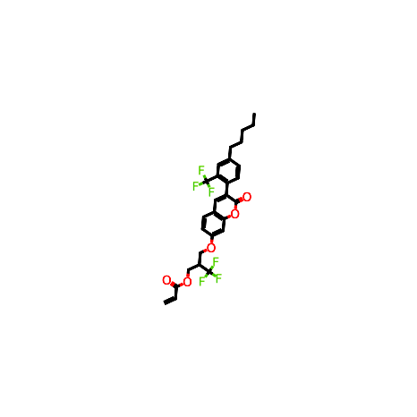 C=CC(=O)OCC(COc1ccc2cc(-c3ccc(CCCCC)cc3C(F)(F)F)c(=O)oc2c1)C(F)(F)F